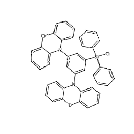 Cl[Si](c1ccccc1)(c1ccccc1)c1cc(N2c3ccccc3Oc3ccccc32)cc(N2c3ccccc3Oc3ccccc32)c1